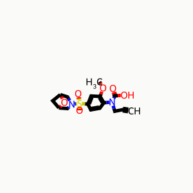 C#CCN(C(=O)O)c1ccc(S(=O)(=O)N2CC3CC(C2)O3)cc1OC